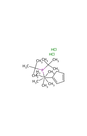 CC(C)(C)[P](C(C)(C)C)[Ti]([CH3])([CH3])([CH3])([CH3])([CH3])[C]1=CC=CC1.Cl.Cl